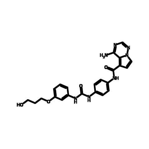 Nc1ncnn2ccc(C(=O)Nc3ccc(NC(=O)Nc4cccc(OCCCO)c4)cc3)c12